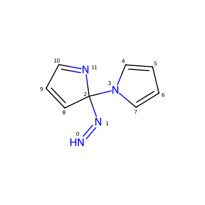 N=NC1(n2cccc2)C=CC=N1